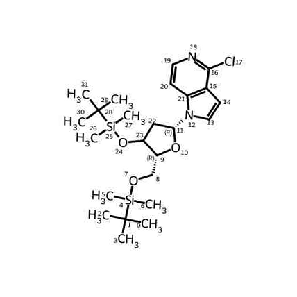 CC(C)(C)[Si](C)(C)OC[C@H]1O[C@@H](n2ccc3c(Cl)nccc32)CC1O[Si](C)(C)C(C)(C)C